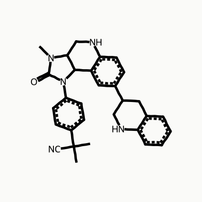 CN1C(=O)N(c2ccc(C(C)(C)C#N)cc2)C2c3cc(C4CNc5ccccc5C4)ccc3NCC21